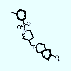 COc1ccc2c(c1)CCN(CC1CCN(S(=O)(=O)c3cccc(C)c3)CC1)C2